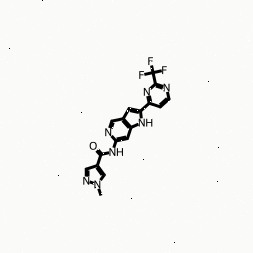 Cn1cc(C(=O)Nc2cc3[nH]c(-c4ccnc(C(F)(F)F)n4)cc3cn2)cn1